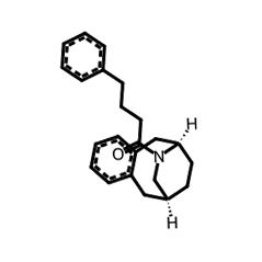 O=C(CCCc1ccccc1)N1C[C@H]2CC[C@@H]1Cc1ccccc1C2